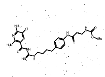 CC(C)(C)OC(=O)NCCC(=O)Nc1ccc(CCCCNC(=N)NC(=O)c2nc(Cl)c(N)nc2N)cc1